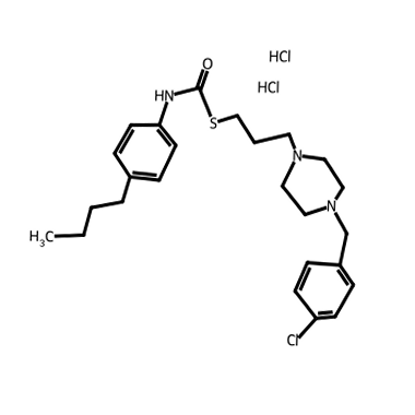 CCCCc1ccc(NC(=O)SCCCN2CCN(Cc3ccc(Cl)cc3)CC2)cc1.Cl.Cl